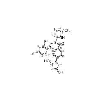 O=C(NC(C(F)(F)F)C(F)(F)F)c1cn(-c2c(F)cc(F)cc2F)c2nc(N3C[C@@H](O)CC3O)ccc2c1=O